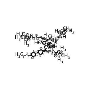 CCCCc1ccc(-c2ccc(C(=O)N[C@@H](CNC(=O)OC(C)(C)C)C(=O)N[C@@H](CCCCNC(=O)OC(C)(C)C)C(=O)N[C@@H](C)C(=O)N[C@@H](CCCCNC(=O)OC(C)(C)C)C(=O)O)cc2)cc1